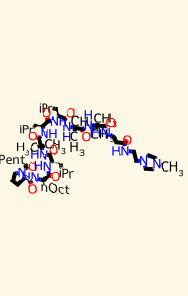 CCCCCCCC[C@H](NC(=O)[C@@H]1CCCN1C(=O)CCCCC)C(=O)N[C@@H](CC(C)C)C(=O)NC(C)(C)C(=O)N[C@@H](CC(C)C)C(=O)N[C@@H](CC(C)C)C(=O)NC(C)(C)C(=O)NC(C)(C)C(=O)NCCC(=O)NCCN1CCN(C)CC1